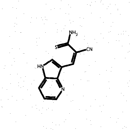 N#CC(=Cc1c[nH]c2cccnc12)C(N)=S